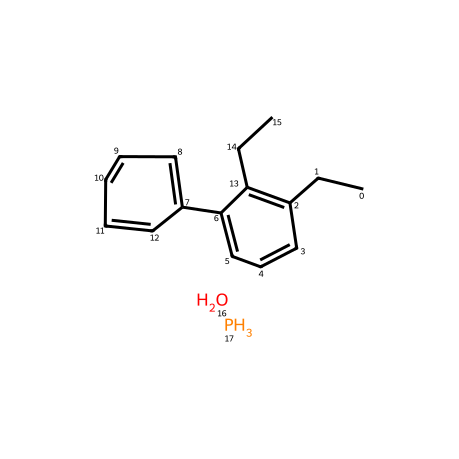 CCc1cccc(-c2ccccc2)c1CC.O.P